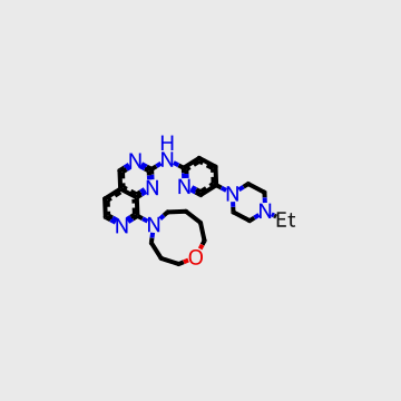 CCN1CCN(c2ccc(Nc3ncc4ccnc(N5CCCCOCCC5)c4n3)nc2)CC1